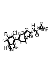 Cc1c(F)c(Cl)c(-c2ccn3nc(NC(=O)[C@@H]4C[C@@H]4F)cc3c2)c2cn[nH]c12